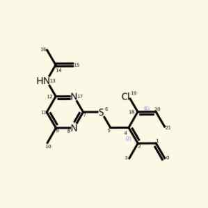 C=C/C(C)=C(CSc1nc(C)cc(NC(=C)C)n1)\C(Cl)=C/C